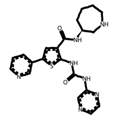 O=C(Nc1cnccn1)Nc1sc(-c2cccnc2)cc1C(=O)N[C@H]1CCCCNC1